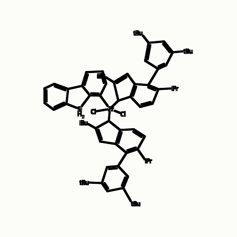 CCC(C)C1=Cc2c(ccc(C(C)C)c2-c2cc(C(C)(C)C)cc(C(C)(C)C)c2)[CH]1[Zr]([Cl])([Cl])([c]1cccc2c1[SiH2]c1ccccc1-2)[CH]1C(C(C)CC)=Cc2c1ccc(C(C)C)c2-c1cc(C(C)(C)C)cc(C(C)(C)C)c1